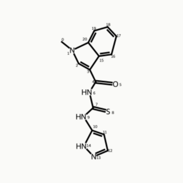 Cn1cc(C(=O)NC(=S)Nc2ccn[nH]2)c2ccccc21